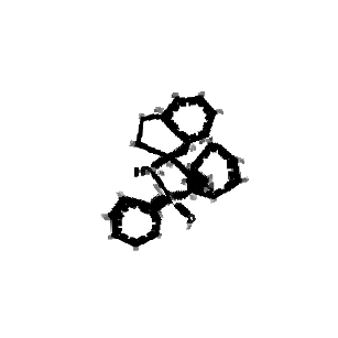 N#CC1(NP(=O)(c2ccccc2)c2ccccc2)CCc2ccccc21